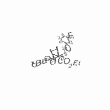 CCOC(=O)[C@H](CCOc1cccc(F)c1)NC(=O)OC(C)(C)C